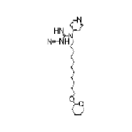 N#CNC(=N)N(CCCCCCCCCCCOC1CCCCO1)c1ccncc1